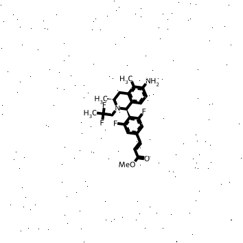 COC(=O)/C=C/c1cc(F)c([C@@H]2c3ccc(N)c(C)c3C[C@@H](C)N2CC(C)(F)F)c(F)c1